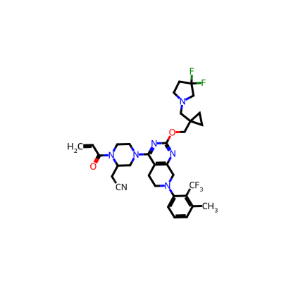 C=CC(=O)N1CCN(c2nc(OCC3(CN4CCC(F)(F)C4)CC3)nc3c2CCN(c2cccc(C)c2C(F)(F)F)C3)CC1CC#N